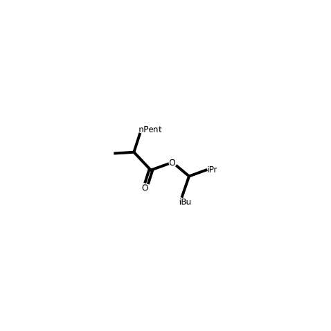 CCCCCC(C)C(=O)OC(C(C)C)C(C)CC